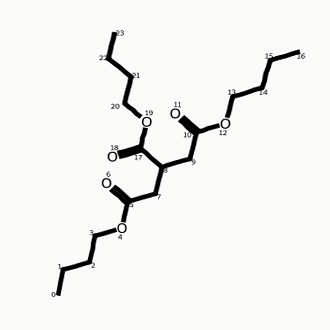 CCCCOC(=O)CC(CC(=O)OCCCC)C(=O)OCCCC